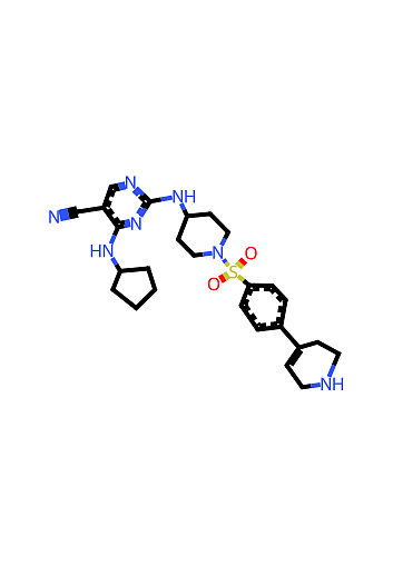 N#Cc1cnc(NC2CCN(S(=O)(=O)c3ccc(C4=CCNCC4)cc3)CC2)nc1NC1CCCC1